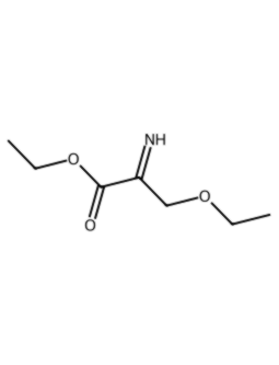 CCOCC(=N)C(=O)OCC